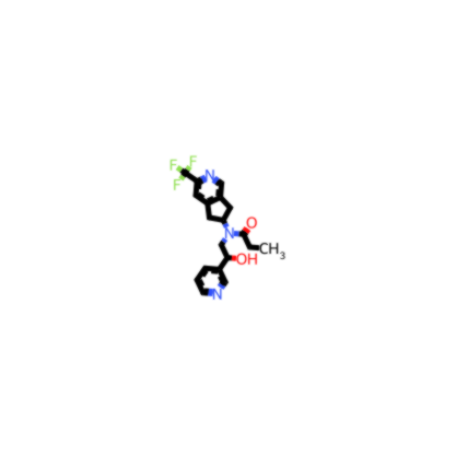 CCC(=O)N(CC(O)c1cccnc1)C1Cc2cnc(C(F)(F)F)cc2C1